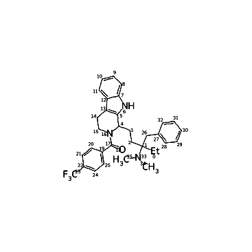 CCC(CCC1c2[nH]c3ccccc3c2CCN1C(=O)c1ccc(C(F)(F)F)cc1)(Cc1ccccc1)N(C)C